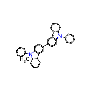 CC12C=CC=CC1c1cc(-c3ccc4c(c3)c3ccccc3n4-c3ccccc3)ccc1N2c1ccccc1